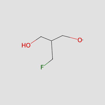 [O]CC(CO)CF